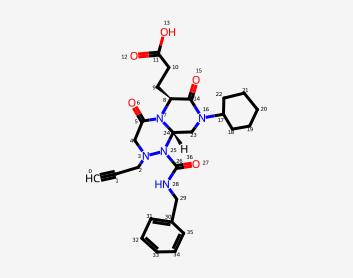 C#CCN1CC(=O)N2[C@@H](CCC(=O)O)C(=O)N(C3CCCCC3)C[C@@H]2N1C(=O)NCc1ccccc1